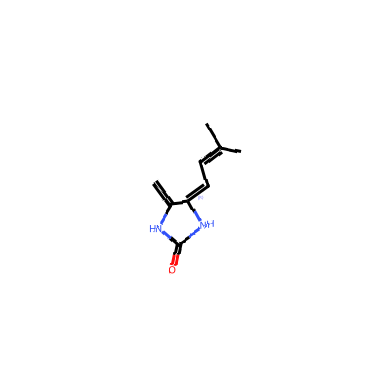 C=c1[nH]c(=O)[nH]/c1=C/C=C(C)C